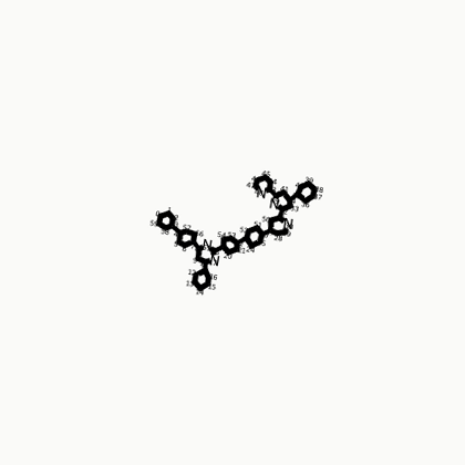 c1ccc(-c2ccc(-c3cc(-c4ccccc4)nc(-c4ccc(-c5ccc(-c6ccnc(-c7cc(-c8ccccc8)cc(-c8ccccn8)n7)c6)cc5)cc4)n3)cc2)cc1